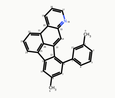 Cc1cccc(-c2cc(C)cc3c2-c2cc4ncccc4c4cccc-3c24)c1